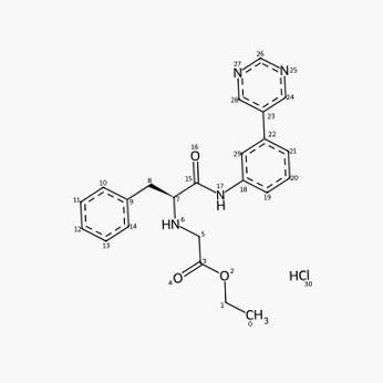 CCOC(=O)CN[C@@H](Cc1ccccc1)C(=O)Nc1cccc(-c2cncnc2)c1.Cl